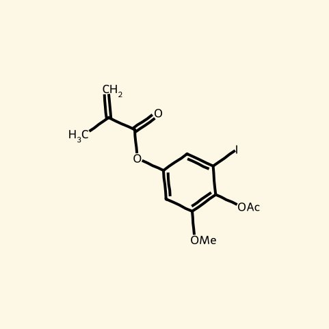 C=C(C)C(=O)Oc1cc(I)c(OC(C)=O)c(OC)c1